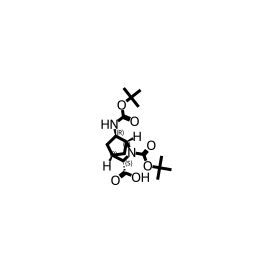 CC(C)(C)OC(=O)N[C@@H]1C[C@@H]2C[C@H]1N(C(=O)OC(C)(C)C)[C@@H]2C(=O)O